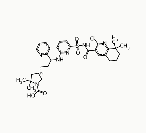 CC1(C)CCCc2cc(C(=O)NS(=O)(=O)c3cccc(NC(CC[C@@H]4CN(C(=O)O)C(C)(C)C4)c4ccccn4)n3)c(Cl)nc21